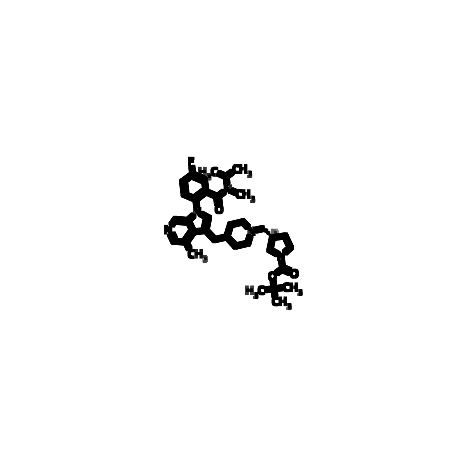 Cc1cncc2c1c(CC1CCN(C[C@@H]3CCN(C(=O)OC(C)(C)C)C3)CC1)cn2-c1ccc(F)cc1C(=O)N(C)C(C)C